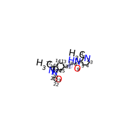 Cc1ncccc1NC(=O)/C=C/c1ccc2c(C)nn(C3CCO3)c2c1